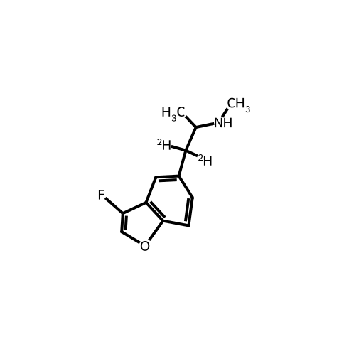 [2H]C([2H])(c1ccc2occ(F)c2c1)C(C)NC